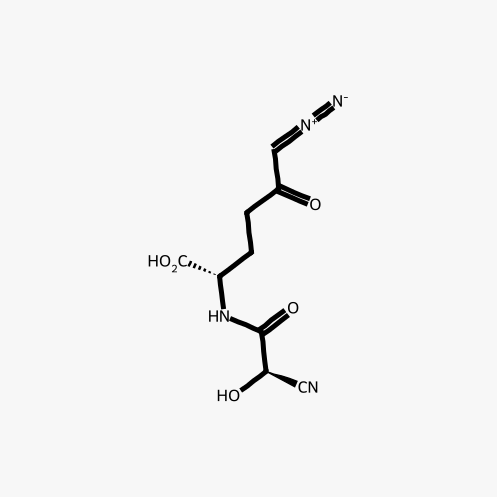 N#C[C@@H](O)C(=O)N[C@@H](CCC(=O)C=[N+]=[N-])C(=O)O